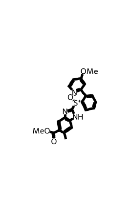 COC(=O)c1cc2nc([S+]([O-])c3ccccc3-c3cc(OC)ccn3)[nH]c2cc1C